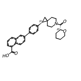 O=C(O)c1cccc2cc(-c3ccc([C@H]4CC45CCN(C(=O)[C@H]4CCCCO4)CC5)cc3)ccc12